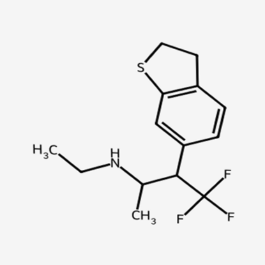 CCNC(C)C(c1ccc2c(c1)SCC2)C(F)(F)F